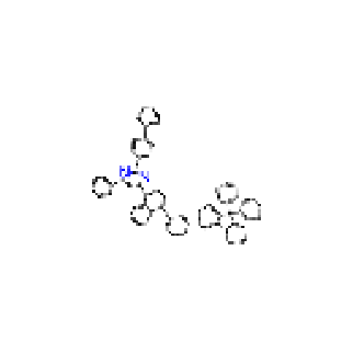 c1ccc(-c2ccc(-c3nc(-c4ccccc4)cc(-c4ccc(-c5cccc(-c6ccc7c(c6)-c6ccccc6C7(c6ccccc6)c6ccccc6)c5)c5ccccc45)n3)cc2)cc1